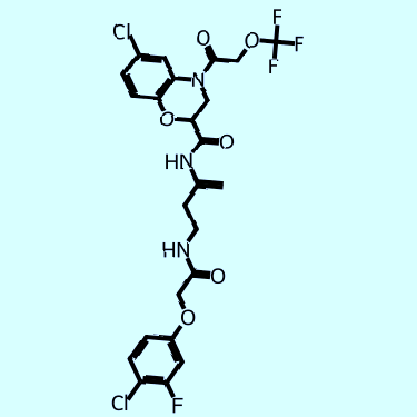 C=C(CCNC(=O)COc1ccc(Cl)c(F)c1)NC(=O)C1CN(C(=O)COC(F)(F)F)c2cc(Cl)ccc2O1